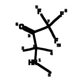 CNC(C)(C)C(=O)C(F)(F)F